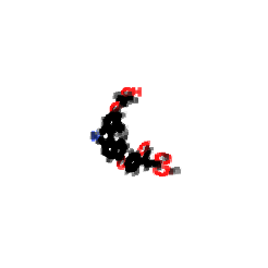 COC(=O)CC1COc2cc(O[C@@H]3CCc4c3ccc(C#N)c4-c3c(C)cc(OCC(C)(C)O)cc3C)ccc21